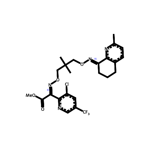 COC(=O)/C(=N/OCC(C)(C)CO/N=C1\CCCc2ccc(C)nc21)c1ncc(C(F)(F)F)cc1Cl